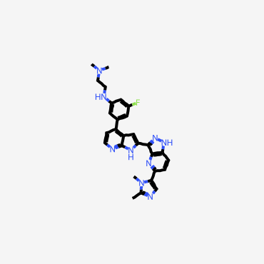 Cc1ncc(-c2ccc3[nH]nc(-c4cc5c(-c6cc(F)cc(NCCN(C)C)c6)ccnc5[nH]4)c3n2)n1C